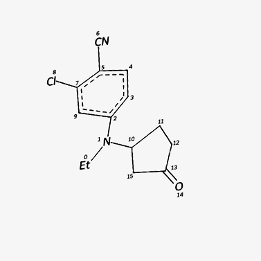 CCN(c1ccc(C#N)c(Cl)c1)C1CCC(=O)C1